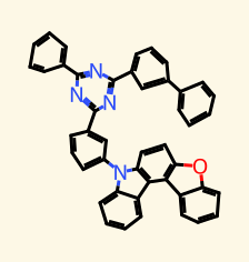 c1ccc(-c2cccc(-c3nc(-c4ccccc4)nc(-c4cccc(-n5c6ccccc6c6c7c(ccc65)oc5ccccc57)c4)n3)c2)cc1